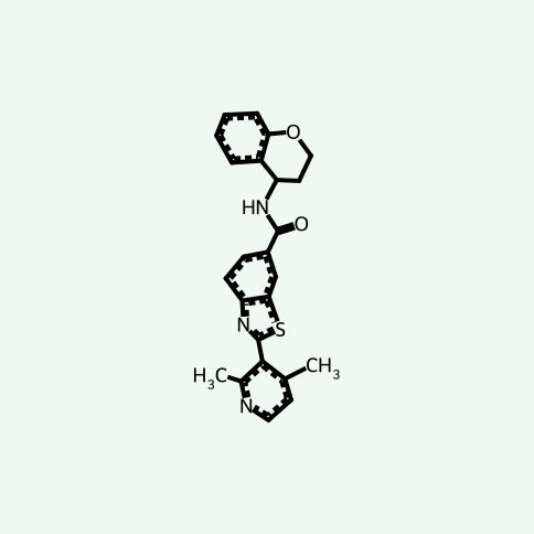 Cc1ccnc(C)c1-c1nc2ccc(C(=O)NC3CCOc4ccccc43)cc2s1